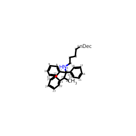 CCCCCCCCCCCCCCNC(c1ccccc1)(c1ccccc1)C(C)c1ccccc1